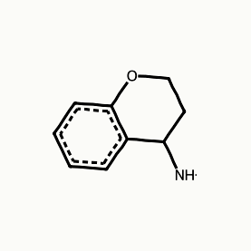 [NH]C1CCOc2ccccc21